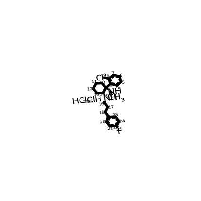 CN[C@]1(c2ccccc2Cl)CCCC[C@H]1NCCCc1ccc(F)cc1.Cl.Cl